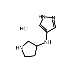 Cl.c1n[nH]cc1NC1CCNC1